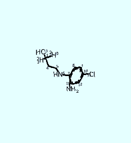 [2H]C([2H])(O)CCNc1ccc(Cl)cc1N